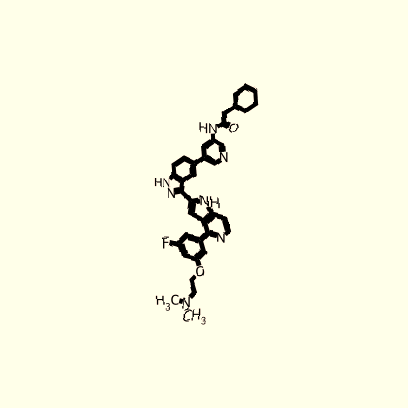 CN(C)CCOc1cc(F)cc(-c2nccc3[nH]c(-c4n[nH]c5ccc(-c6cncc(NC(=O)CC7CCCCC7)c6)cc45)cc23)c1